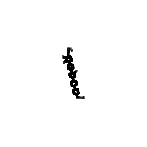 C=CCc1ccc(-c2ccc(-c3ccc(C4CCC(C5CCC(CCCCC)CC5)CC4)cc3F)cc2)c(F)c1F